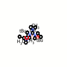 CC(C)(C)c1ccc(N2c3cc(N4c5ccc(-c6ccccc6)cc5C5(C)CCCCC45C)ccc3B3c4ccc(C(C)(C)C)cc4N(c4cccc5c4oc4ccccc45)c4cc(N5c6ccccc6C6(C)CCCCC56C)cc2c43)c(-c2ccccc2)c1